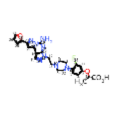 C[C@H](Oc1ccc(N2CCN(CCn3ncc4c3nc(N)n3nc(-c5ccco5)cc43)CC2)c(F)c1)C(=O)O